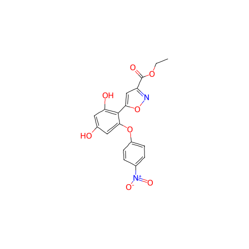 CCOC(=O)c1cc(-c2c(O)cc(O)cc2Oc2ccc([N+](=O)[O-])cc2)on1